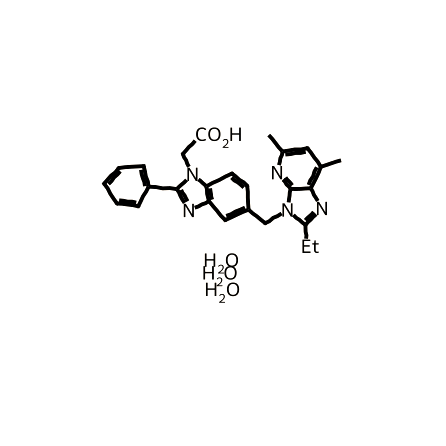 CCc1nc2c(C)cc(C)nc2n1Cc1ccc2c(c1)nc(-c1ccccc1)n2CC(=O)O.O.O.O